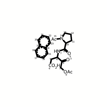 CC(=O)OCC(=O)C(CC(=O)O)NC(=O)C1CCCN1C(C)=O.c1ccc2ccccc2c1